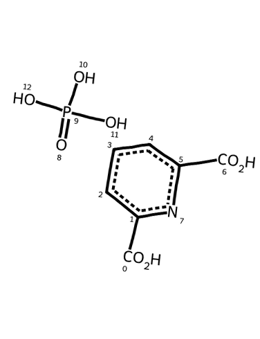 O=C(O)c1cccc(C(=O)O)n1.O=P(O)(O)O